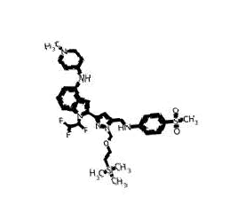 CN1CCC(Nc2cccc3c2cc(-c2cc(CNc4ccc(S(C)(=O)=O)cc4)n(COCC[Si](C)(C)C)n2)n3C(F)C(F)F)CC1